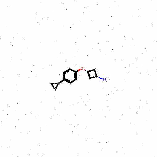 N[C@H]1C[C@H](Oc2ccc(C3CC3)cc2)C1